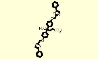 CC(CCC(=O)O)(c1ccc(OCc2nc(-c3ccccc3)cs2)cc1)c1ccc(OCc2nc(-c3ccccc3)cs2)cc1